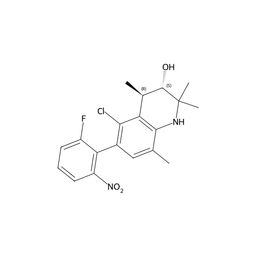 Cc1cc(-c2c(F)cccc2[N+](=O)[O-])c(Cl)c2c1NC(C)(C)[C@@H](O)[C@@H]2C